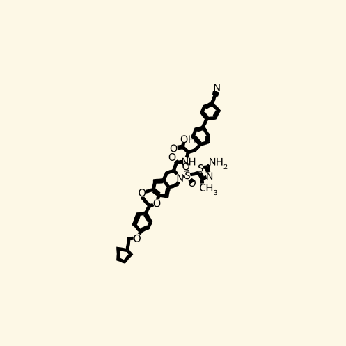 Cc1nc(N)sc1S(=O)(=O)N1Cc2cc3c(cc2CC1C(=O)NC(Cc1ccc(-c2ccc(C#N)cc2)cc1)C(=O)O)OCC(c1ccc(OCC2CCCC2)cc1)O3